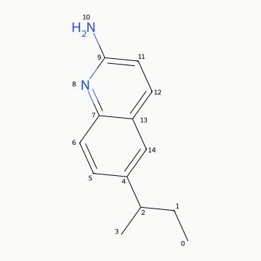 CCC(C)c1ccc2nc(N)ccc2c1